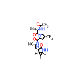 C[C@@H]1[C@@H]2NC(=O)[C@H](C[C@@H](C#N)NC(=O)[C@@H]3C[C@@H](C(F)(F)F)CN3C(=O)[C@@H](NC(=O)C(F)(F)F)C(C)(C)C)[C@H]12